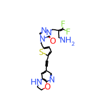 NCC(Cn1ncn(Cc2ccc(C#Cc3cnc4c(c3)NCCO4)s2)c1=O)=C(F)F